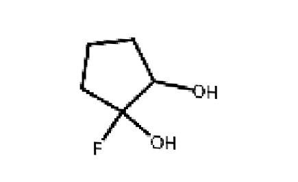 OC1CCCC1(O)F